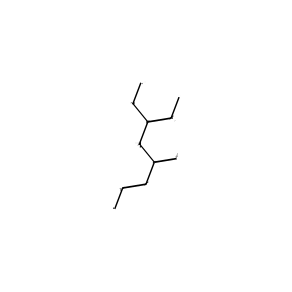 CCCC(C)[CH]C(CC)CC